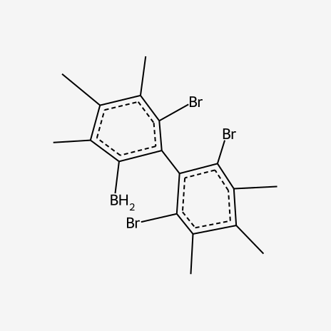 Bc1c(C)c(C)c(C)c(Br)c1-c1c(Br)c(C)c(C)c(C)c1Br